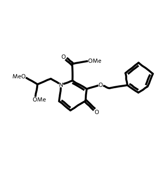 COC(=O)c1c(OCc2ccccc2)c(=O)ccn1CC(OC)OC